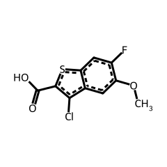 COc1cc2c(Cl)c(C(=O)O)sc2cc1F